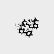 C[C@@H](Cc1cccc(C2(N)CC2)c1)Nc1nccc(N(C)c2ccnc(-c3ccccc3)n2)n1